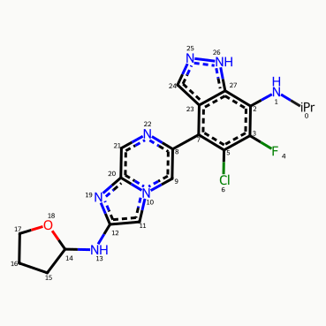 CC(C)Nc1c(F)c(Cl)c(-c2cn3cc(NC4CCCO4)nc3cn2)c2cn[nH]c12